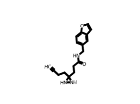 C#CCCC1(CCC(=O)NCc2ccc3occc3c2)NN1